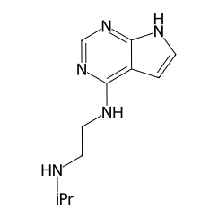 CC(C)NCCNc1ncnc2[nH]ccc12